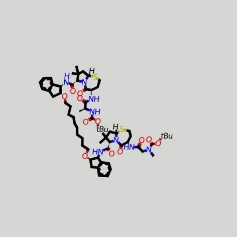 C[C@H](NC(=O)OC(C)(C)C)C(=O)N[C@H]1CCS[C@H]2CC(C)(C)[C@@H](C(=O)N[C@H]3c4ccccc4C[C@H]3OCCCCCCCCCCO[C@@H]3Cc4ccccc4C3NC(=O)[C@H]3N4C(=O)[C@@H](NC(=O)CN(C)C(=O)OC(C)(C)C)CCS[C@H]4CC3(C)C)N2C1=O